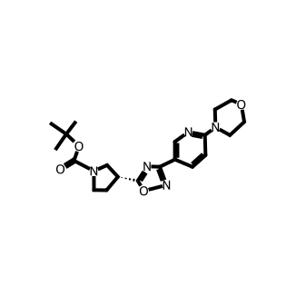 CC(C)(C)OC(=O)N1CC[C@@H](c2nc(-c3ccc(N4CCOCC4)nc3)no2)C1